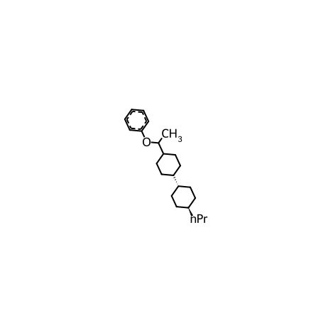 CCC[C@H]1CC[C@H](C2CCC(C(C)Oc3ccccc3)CC2)CC1